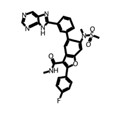 CNC(=O)c1c(-c2ccc(F)cc2)oc2cc(N(C)S(C)(=O)=O)c(-c3cccc(-c4nc5cncnc5[nH]4)c3)cc12